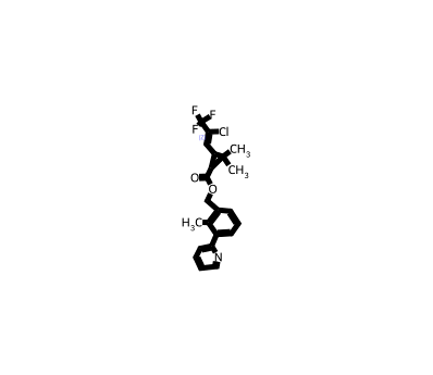 Cc1c(COC(=O)C2C(/C=C(\Cl)C(F)(F)F)C2(C)C)cccc1-c1ccccn1